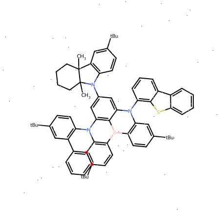 CC(C)(C)c1ccc(N2c3cc(C(C)(C)C)ccc3B3c4ccc(C(C)(C)C)cc4N(c4cccc5c4sc4ccccc45)c4cc(N5c6ccc(C(C)(C)C)cc6C6(C)CCCCC56C)cc2c43)c(-c2ccccc2)c1